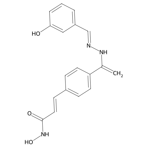 C=C(N/N=C/c1cccc(O)c1)c1ccc(/C=C/C(=O)NO)cc1